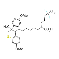 COc1ccc(C2(C)CSc3cc(OC)ccc3C2CCCCCCC(CCCC(F)(F)C(F)(F)F)C(=O)O)cc1